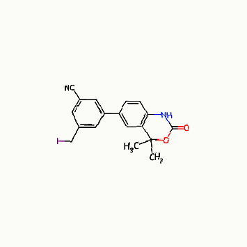 CC1(C)OC(=O)Nc2ccc(-c3cc(C#N)cc(CI)c3)cc21